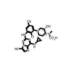 CN(C(=O)O)[C@@H]1CCN(c2cc(C#N)cc(Nc3nc(NC4CC4)c4ncc(C#N)n4n3)c2Cl)C[C@@H]1O